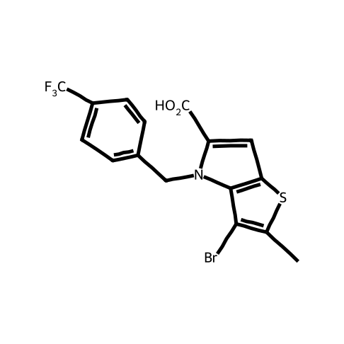 Cc1sc2cc(C(=O)O)n(Cc3ccc(C(F)(F)F)cc3)c2c1Br